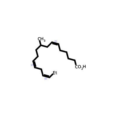 CC/C=C\C/C=C\CCC(C)C/C=C\CCCCC(=O)O